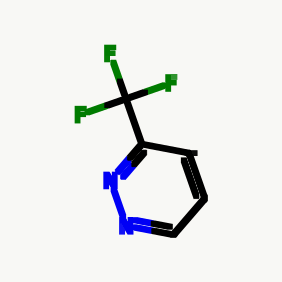 FC(F)(F)c1[c]ccnn1